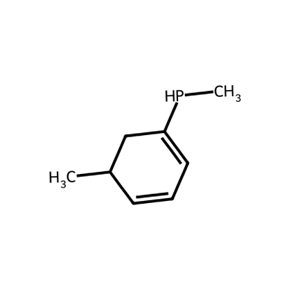 CPC1=CC=CC(C)C1